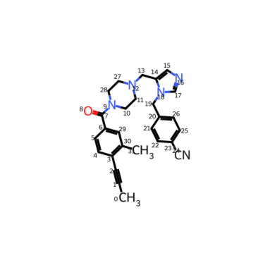 CC#Cc1ccc(C(=O)N2CCN(Cc3cncn3Cc3ccc(C#N)cc3)CC2)cc1C